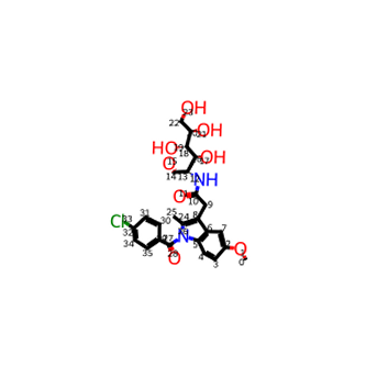 COc1ccc2c(c1)c(CC(=O)N[C@H](C=O)[C@@H](O)[C@H](O)[C@H](O)CO)c(C)n2C(=O)c1ccc(Cl)cc1